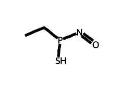 CCP(S)N=O